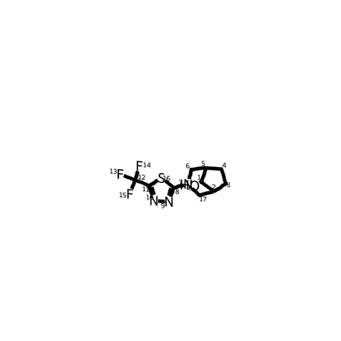 OC1C2CCC1CN(c1nnc(C(F)(F)F)s1)C2